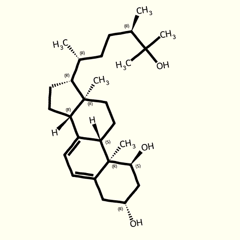 C[C@H](CC[C@@H](C)C(C)(C)O)[C@H]1CC[C@H]2C3=CC=C4C[C@@H](O)C[C@H](O)[C@]4(C)[C@H]3CC[C@]12C